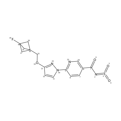 O=C(N=S(=O)=O)c1ccc(-n2ccc(OCC34CC(F)(C3)C4)n2)nc1